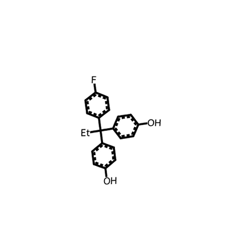 CCC(c1ccc(O)cc1)(c1ccc(O)cc1)c1ccc(F)cc1